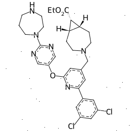 CCOC(=O)[C@@H]1[C@@H]2CCN(Cc3cc(Oc4cnc(N5CCCNCC5)nc4)nc(-c4cc(Cl)cc(Cl)c4)c3)CC[C@@H]21